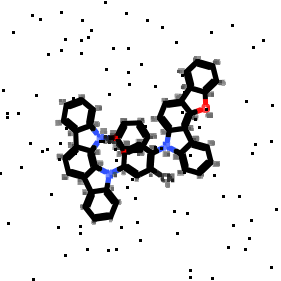 N#Cc1cc(-n2c3ccccc3c3ccc4c5ccccc5n(-c5ccccc5)c4c32)c(C#N)cc1-n1c2ccccc2c2c3oc4ccccc4c3ccc21